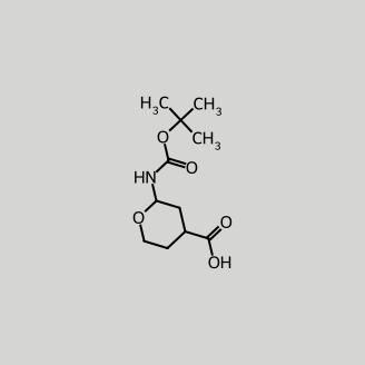 CC(C)(C)OC(=O)NC1CC(C(=O)O)CCO1